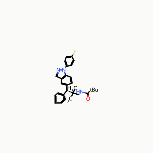 CC(C)(C)C(=O)NCC(C)(C)[C@@H](c1ccccc1)c1ccc2c(cnn2-c2ccc(F)cc2)c1